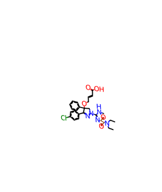 CCN(CC)S(=O)(=O)/N=C(\NC)N1CC(OC/C=C/C(=O)O)(c2ccccc2)C(c2ccc(Cl)cc2)=N1